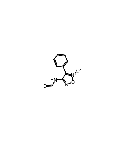 O=CNc1no[n+]([O-])c1-c1ccccc1